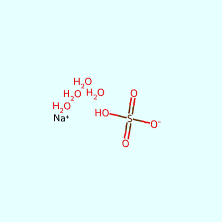 O.O.O.O.O=S(=O)([O-])O.[Na+]